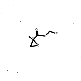 C[C@]1(C(=O)OCO)CO1